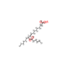 CCCCCCC(CC=CCCCCCCCC(=O)O)OC(=O)CCCCC